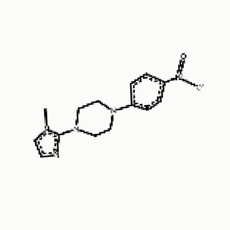 Cn1ccnc1N1CCN(c2ccc([N+](=O)[O-])cc2)CC1